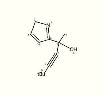 CC(C)(C)C#CC(C)(O)C1=NCC=C1